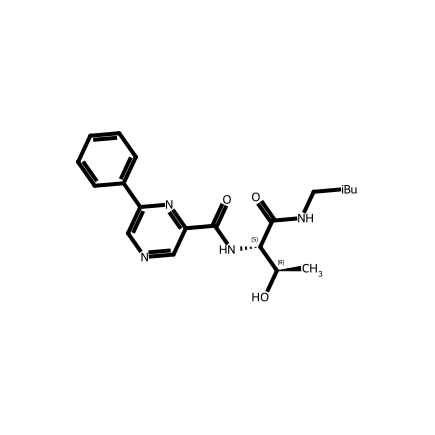 [CH2]CC(C)CNC(=O)[C@@H](NC(=O)c1cncc(-c2ccccc2)n1)[C@@H](C)O